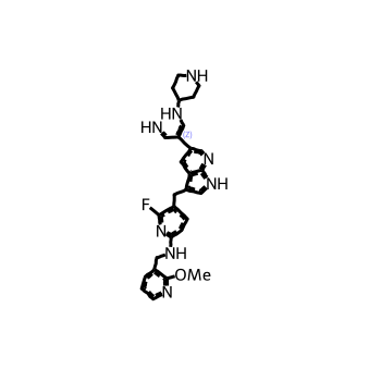 COc1ncccc1CNc1ccc(Cc2c[nH]c3ncc(/C(C=N)=C/NC4CCNCC4)cc23)c(F)n1